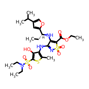 CCOC(=O)C1=C(N[C@H](CC)c2cc(C(C)C)co2)C(Nc2c(C)sc(S(=O)(=O)N(CC)CC)c2O)=NS1(=O)=O